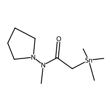 CN(C(=O)[CH2][Sn]([CH3])([CH3])[CH3])N1CCCC1